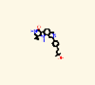 CC(C)(O)CCc1ccc(-c2cc3c(cn2)CCc2c-3[nH]c3c2C(=O)NCC32CC2)cc1